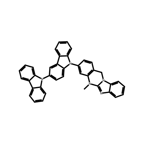 CN1c2cc(-n3c4ccccc4c4cc(-n5c6ccccc6c6ccccc65)ccc43)ccc2Cn2c1nc1ccccc12